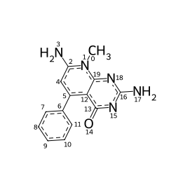 Cn1c(N)cc(-c2ccccc2)c2c(=O)nc(N)nc1-2